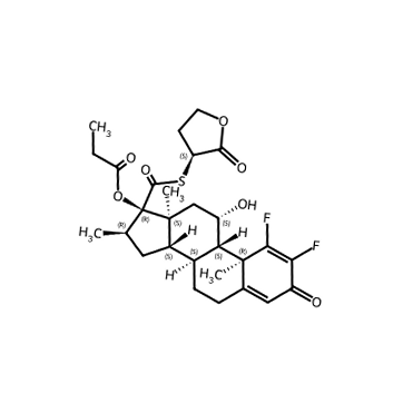 CCC(=O)O[C@]1(C(=O)S[C@H]2CCOC2=O)[C@H](C)C[C@H]2[C@@H]3CCC4=CC(=O)C(F)=C(F)[C@]4(C)[C@H]3[C@@H](O)C[C@@]21C